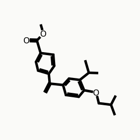 C=C(c1ccc(C(=O)OC)cc1)c1ccc(OCC(C)C)c(C(C)C)c1